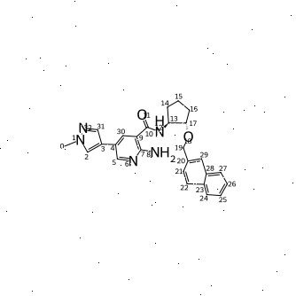 Cn1cc(-c2cnc(N)c(C(=O)N[C@H]3CCC[C@@H]3OCc3ccc4ccccc4c3)c2)cn1